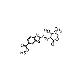 CN1COC(=O)C(N=Nc2nc3ccc(C(=O)OS)cc3s2)C1O